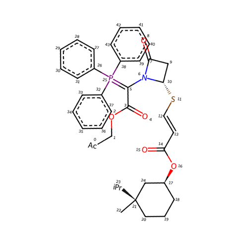 CC(=O)COC(=O)C(N1C(=O)C[C@@H]1SC=CC(=O)O[C@H]1CCC[C@@](C)(C(C)C)C1)=P(c1ccccc1)(c1ccccc1)c1ccccc1